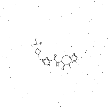 CN1C(=O)[C@@H](NC(=O)c2ncn(C[C@H]3C[C@@H](C(F)(F)F)C3)n2)CCn2nccc21